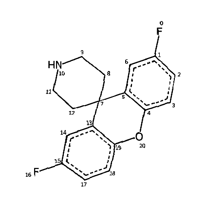 Fc1ccc2c(c1)C1(CCNCC1)c1cc(F)ccc1O2